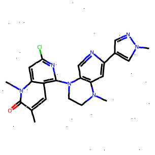 Cc1cc2c(N3CCN(C)c4cc(-c5cnn(C)c5)ncc43)nc(Cl)cc2n(C)c1=O